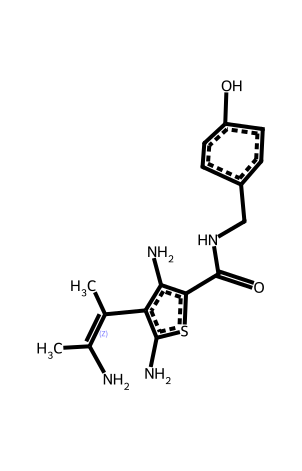 C/C(N)=C(\C)c1c(N)sc(C(=O)NCc2ccc(O)cc2)c1N